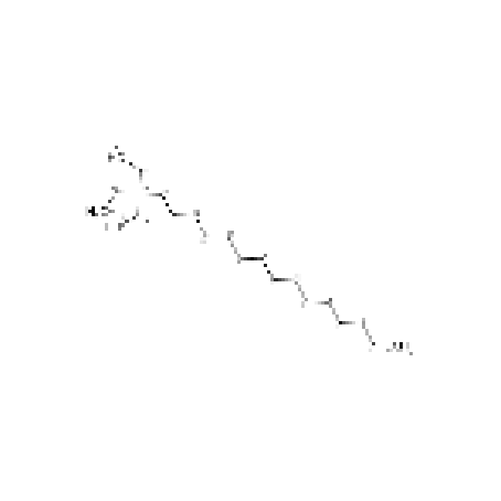 CCCCCCCCCCCCCC[CH]C(CC)(CO)CO